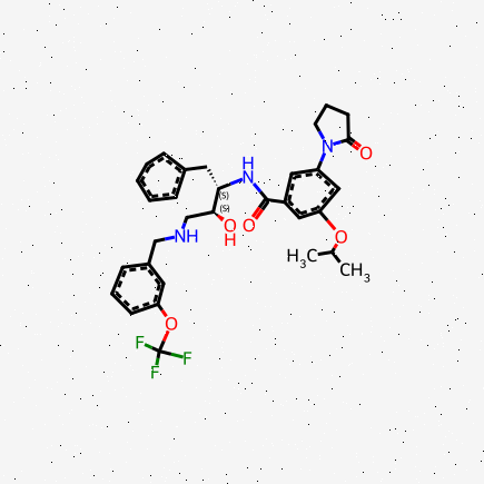 CC(C)Oc1cc(C(=O)N[C@@H](Cc2ccccc2)[C@@H](O)CNCc2cccc(OC(F)(F)F)c2)cc(N2CCCC2=O)c1